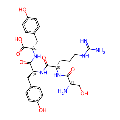 N=C(N)NCCC[C@H](NC(=O)[C@@H](N)CO)C(=O)N[C@@H](Cc1ccc(O)cc1)C(=O)N[C@@H](Cc1ccc(O)cc1)C(=O)O